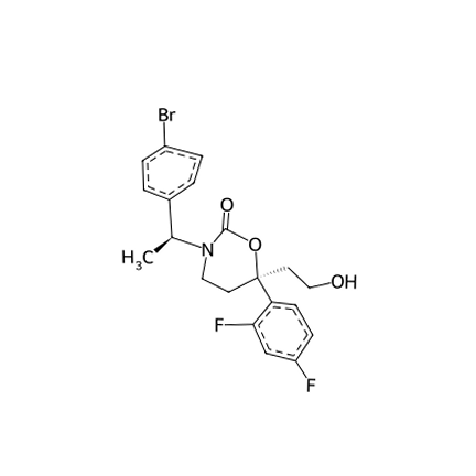 C[C@@H](c1ccc(Br)cc1)N1CC[C@](CCO)(c2ccc(F)cc2F)OC1=O